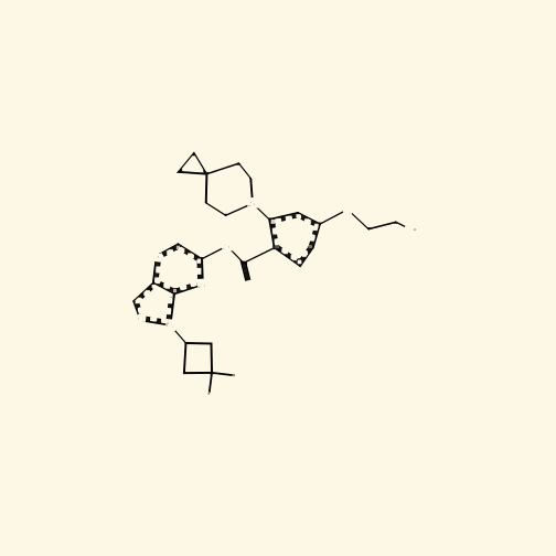 O=C(Nc1cnc2cnn(C3CC(F)(F)C3)c2n1)c1ccc(SCCO)cc1N1CCC2(CC1)CC2